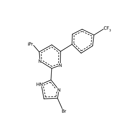 CC(C)c1cc(-c2ccc(C(F)(F)F)cc2)nc(-c2nc(Br)c[nH]2)n1